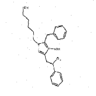 CCCCCCCCCCCCCCCn1cc(CC(C)c2ccccc2)[n+](CCCCCCCC)c1Cc1ccccc1